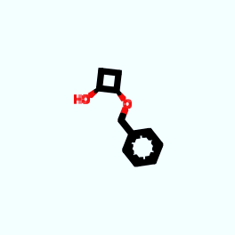 O[C@H]1CC[C@H]1OCc1ccccc1